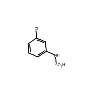 O=S(=O)(O)Nc1cccc(Cl)c1